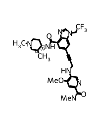 CNC(=O)c1cc(OC)c(NCC#Cc2cc(C(=O)N[C@H]3CCN(C)C[C@@H]3C)c3ncn(CC(F)(F)F)c3c2)cn1